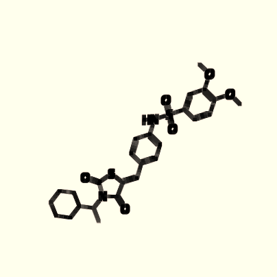 COc1ccc(S(=O)(=O)Nc2ccc(/C=C3\SC(=O)N(C(C)C4CCCCC4)C3=O)cc2)cc1OC